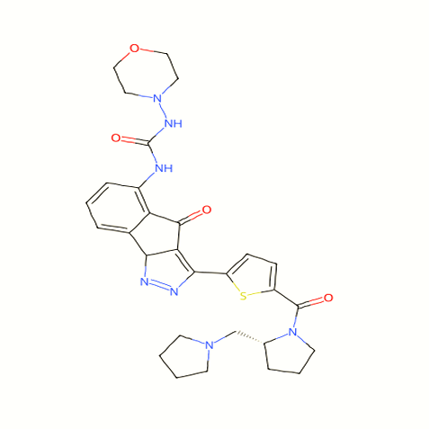 O=C(Nc1cccc2c1C(=O)C1=C(c3ccc(C(=O)N4CCC[C@@H]4CN4CCCC4)s3)N=NC12)NN1CCOCC1